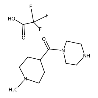 CN1CCC(C(=O)N2CCNCC2)CC1.O=C(O)C(F)(F)F